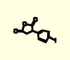 O=C1CC(c2ccc(I)cc2)C(=O)O1